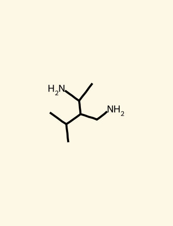 CC(C)C(CN)C(C)N